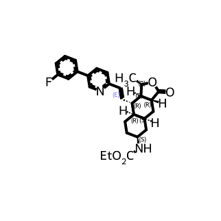 CCOC(=O)N[C@H]1CC[C@@H]2[C@H](C1)C[C@H]1C(=O)O[C@H](C)[C@@H]1[C@H]2/C=C/c1ccc(-c2cccc(F)c2)cn1